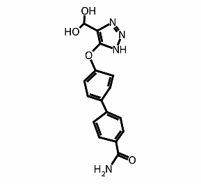 NC(=O)c1ccc(-c2ccc(Oc3[nH]nnc3C(O)O)cc2)cc1